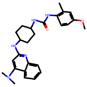 COc1ccc(NC(=O)NC2CCC(Nc3cc(N(C)C)c4ccccc4n3)CC2)c(C)c1